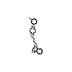 Cc1cccc(N2CCN(CCCCn3cnc4ccccc43)CC2)c1